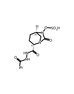 CC(C)C(=O)NNC(=O)[C@@H]1CC[C@@H]2CN1C(=O)N2OS(=O)(=O)O